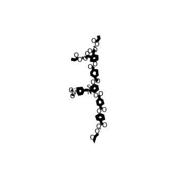 C=CC(=O)OCOC(=O)c1ccc(OC(=O)C2CCC(C(=O)Oc3ccc(OC(=O)C4CCC(C(=O)Oc5ccc(C(=O)OCOCC6CO6)cc5)CC4)c4nc(-c5ccc([N+](=O)[O-])cc5)sc34)CC2)cc1C(=O)OCOC(=O)C=C